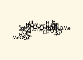 COC(=O)N[C@H](C(=O)N1C[Si](C)(C)C[C@H]1c1nc(Cl)c(-c2ccc(-c3ccc(-c4[nH]c([C@@H]5C[C@H]6C[C@H]6N5C(=O)[C@@H](NC(=O)OC)C5CC5)nc4Cl)cc3)cc2)[nH]1)C1CC1